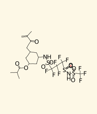 C=C(C)C(=O)CC1CC(NS(=O)(=O)C(F)(F)C(F)(F)C(F)(F)S(=O)(=O)NS(=O)(=O)C(F)(F)F)CC(OC(=O)C(C)C)C1